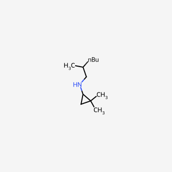 CCCCC(C)CNC1CC1(C)C